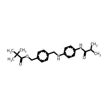 CC(C)C(=O)Nc1ccc(NCc2ccc(COC(=O)C(C)(C)C)cc2)cc1